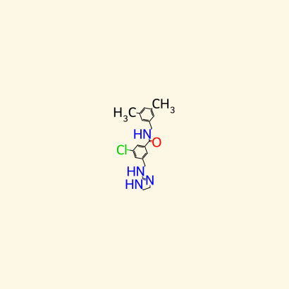 Cc1cc(C)cc(CNC(=O)c2cc(Cl)cc(CNC3=NCCN3)c2)c1